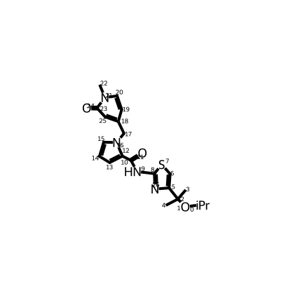 CC(C)OC(C)(C)c1csc(NC(=O)c2cccn2Cc2ccn(C)c(=O)c2)n1